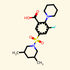 CC1CC(C)CN(S(=O)(=O)c2cc(F)c(N3CCCCC3)c(C(=O)O)c2)C1